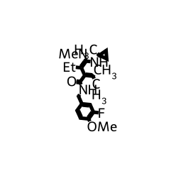 CC/C(C(C(=O)NCc1ccc(OC)c(F)c1)=C(C)C)=C(\NC)NC1(C)CC1